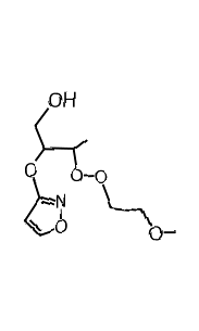 COCCOOC(C)C(CO)Oc1ccon1